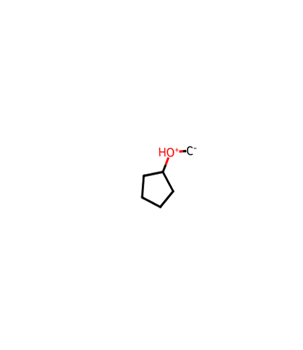 [CH2-][OH+]C1CCCC1